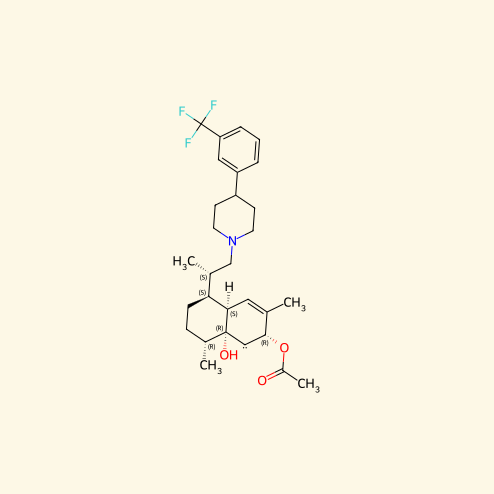 CC(=O)O[C@@H]1[C][C@@]2(O)[C@H](C)CC[C@@H]([C@H](C)CN3CCC(c4cccc(C(F)(F)F)c4)CC3)[C@H]2C=C1C